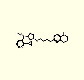 O=C(O)C(c1cccnc1C1CC1)N1CC[C@@H](OCCCCc2ccc3c(n2)CCCN3)C1